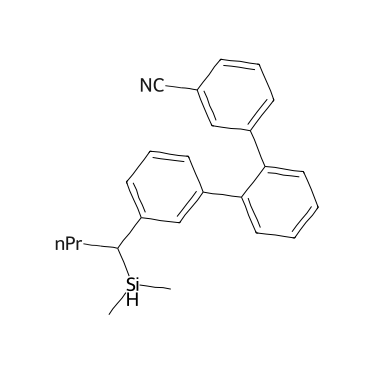 CCCC(c1cccc(-c2ccccc2-c2cccc(C#N)c2)c1)[SiH](C)C